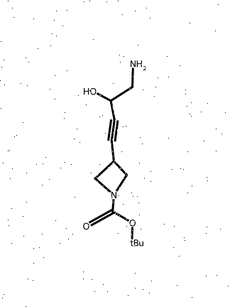 CC(C)(C)OC(=O)N1CC(C#CC(O)CN)C1